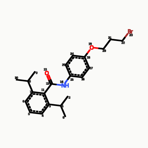 CC(C)c1cccc(C(C)C)c1C(=O)Nc1ccc(OCCCBr)cc1